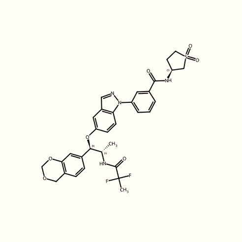 C[C@H](NC(=O)C(C)(F)F)[C@H](Oc1ccc2c(cnn2-c2cccc(C(=O)N[C@H]3CCS(=O)(=O)C3)c2)c1)c1ccc2c(c1)OCOC2